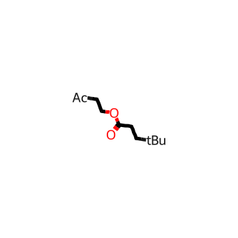 CC(=O)CCOC(=O)CCC(C)(C)C